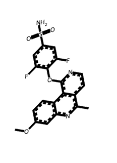 COc1ccc2c(c1)nc(C)c1ccnc(Oc3c(F)cc(S(N)(=O)=O)cc3F)c12